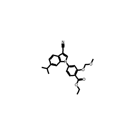 CCOC(=O)c1ccc(-n2cc(C#N)c3ccc(C(C)C)cc32)cc1OCOC